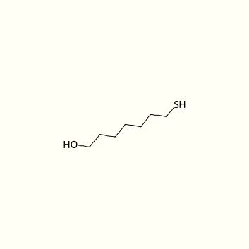 OCCCCCCCS